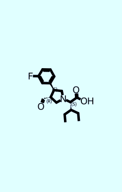 CCC(CC)[C@@H](C(=O)O)N1C[C@H](c2cccc(F)c2)[C@@H](C=O)C1